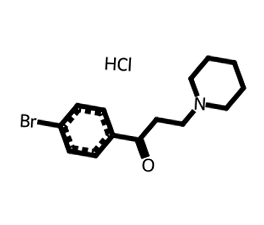 Cl.O=C(CCN1CCCCC1)c1ccc(Br)cc1